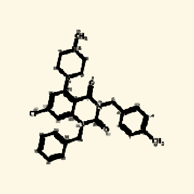 Cc1ccc(Cn2c(=O)c3c(N4CCN(C)CC4)cc(Cl)cc3n(Cc3ccccc3)c2=O)cc1